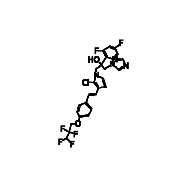 OC(Cn1cncn1)(Cn1ccc(C=Cc2ccc(OCC(F)(F)C(F)F)cc2)c1Cl)c1ccc(F)cc1F